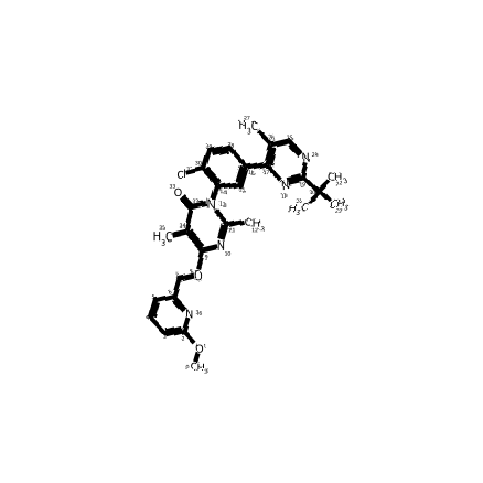 COc1cccc(COc2nc(C)n(-c3cc(-c4nc(C(C)(C)C)ncc4C)ccc3Cl)c(=O)c2C)n1